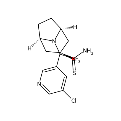 NC(=S)[C@@]1(c2cncc(Cl)c2)C[C@H]2CC[C@@H](C1)N2CC(F)(F)F